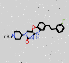 CCCCN1CCC(n2cc3c(nc2=O)Nc2cc(CCc4cccc(F)c4)ccc2O3)CC1